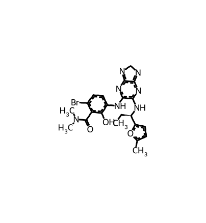 CC[C@@H](Nc1nc2c(nc1Nc1ccc(Br)c(C(=O)N(C)C)c1O)=NCN=2)c1ccc(C)o1